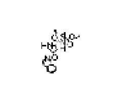 C=C[C@@H]1C[C@]1(NC(=O)[C@@H]1C[C@@H](Oc2nccc3ccccc23)CN1)C(=O)OCC